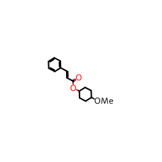 COC1CCC(OC(=O)/C=C/c2ccccc2)CC1